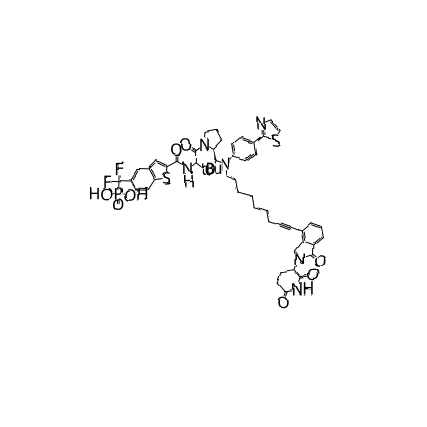 CC(C)(C)C(NC(=O)c1cc2cc(C(F)(F)P(=O)(O)O)ccc2s1)C(=O)N1CCC[C@H]1C(=O)N(CCCCCCCC#Cc1cccc2c1CN(C1CCC(=O)NC1=O)C2=O)c1ccc(-c2nccs2)cc1